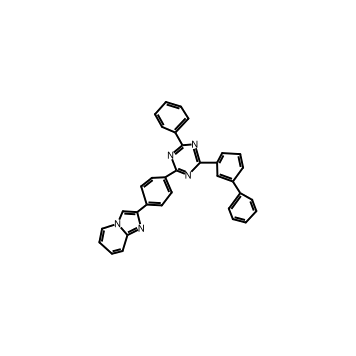 c1ccc(-c2cccc(-c3nc(-c4ccccc4)nc(-c4ccc(-c5cn6ccccc6n5)cc4)n3)c2)cc1